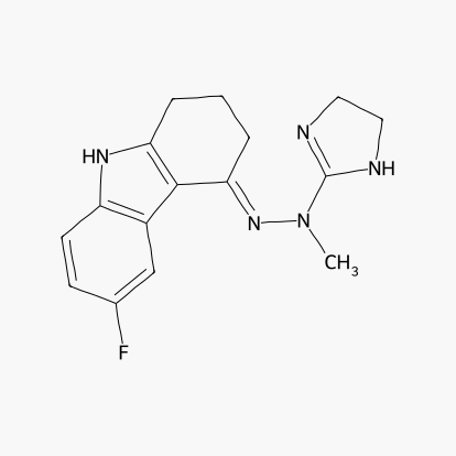 CN(N=C1CCCc2[nH]c3ccc(F)cc3c21)C1=NCCN1